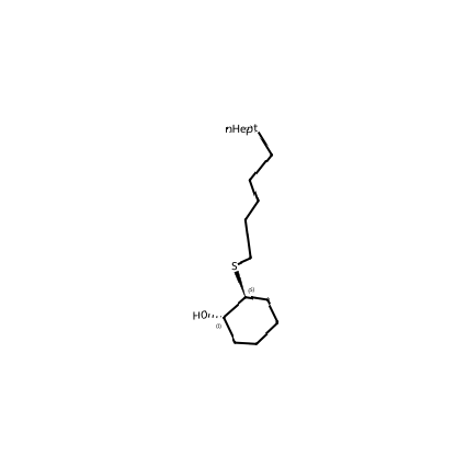 CCCCCCCCCCCCS[C@H]1CCCC[C@@H]1O